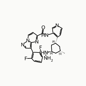 C[C@@H]1C[C@@H](NN)C[C@H](c2ccncc2NC(=O)c2ccn3ncc(-c4c(F)cccc4F)c3n2)C1